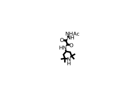 CC(=O)NNC(=O)C(=O)NC1CC(C)(C)NC(C)(C)C1